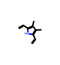 C=Cc1[nH]c(C=C)c(C)c1C